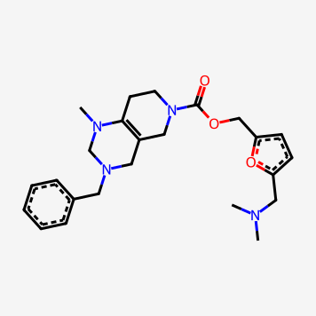 CN(C)Cc1ccc(COC(=O)N2CCC3=C(CN(Cc4ccccc4)CN3C)C2)o1